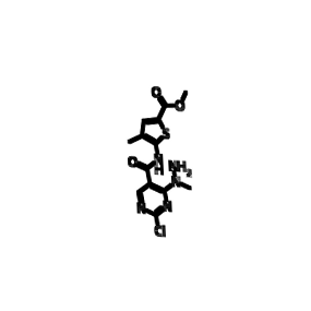 COC(=O)c1cc(C)c(NC(=O)c2cnc(Cl)nc2N(C)N)s1